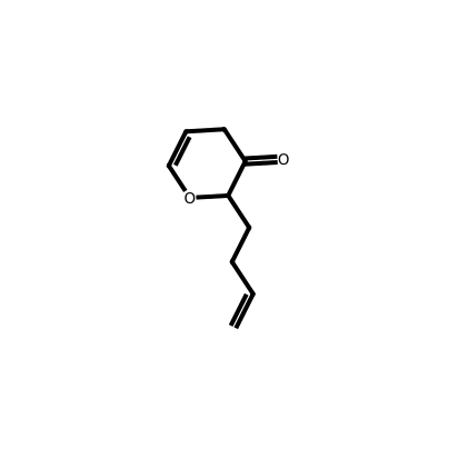 C=CCCC1OC=CCC1=O